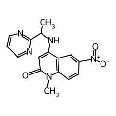 CC(Nc1cc(=O)n(C)c2ccc([N+](=O)[O-])cc12)c1ncccn1